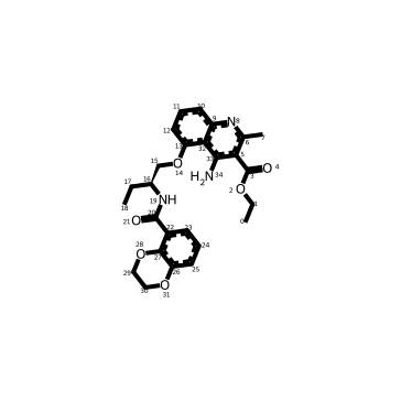 CCOC(=O)c1c(C)nc2cccc(OC[C@H](CC)NC(=O)c3cccc4c3OCCO4)c2c1N